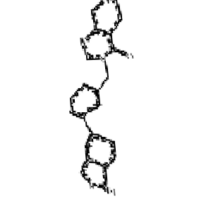 O=c1c2ccncc2ncn1Cc1cccc(-c2ccc3[nH]ncc3c2)c1